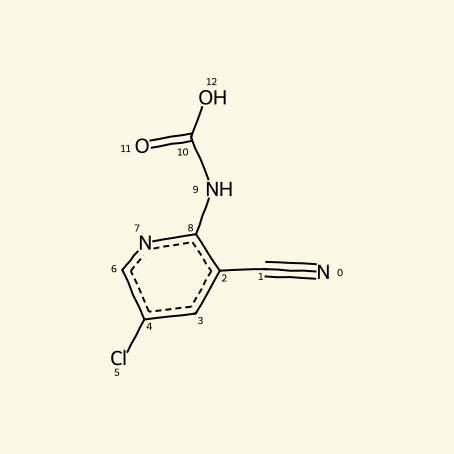 N#Cc1cc(Cl)cnc1NC(=O)O